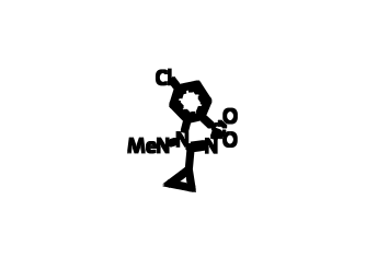 CNN1C(C2CC2)=NS(=O)(=O)c2ccc(Cl)cc21